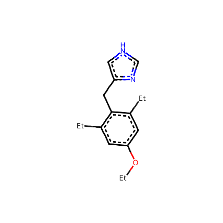 CCOc1cc(CC)c(Cc2c[nH]cn2)c(CC)c1